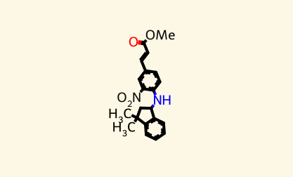 COC(=O)/C=C/c1ccc(NC2CC(C)(C)c3ccccc32)c([N+](=O)[O-])c1